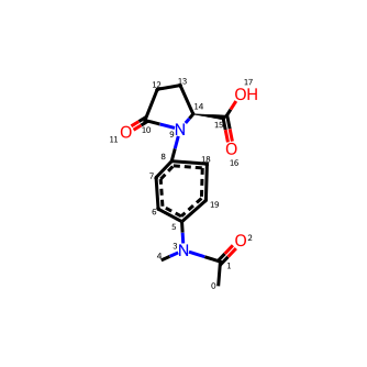 CC(=O)N(C)c1ccc(N2C(=O)CC[C@H]2C(=O)O)cc1